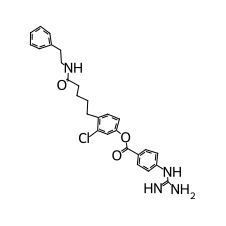 N=C(N)Nc1ccc(C(=O)Oc2ccc(CCCCC(=O)NCCc3ccccc3)c(Cl)c2)cc1